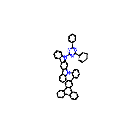 C1=CC(c2nc(-c3ccccc3)nc(-n3c4ccccc4c4cc5c6ccccc6n(-c6ccccc6-c6ccc7c8ccccc8c8ccccc8c7c6)c5cc43)n2)=CCC1